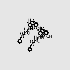 CO[C@@]12CC[C@@H](NCC(=O)NCC(=O)OCc3ccccc3)[C@@H]3Oc4c(O)ccc5c4[C@@]31CCN(C)[C@@H]2C5.CO[C@@]12CC[C@H](NCC(=O)NCC(=O)OCc3ccccc3)[C@@H]3Oc4c(O)ccc5c4[C@@]31CCN(C)[C@@H]2C5